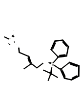 CC(=CCOS(C)(=O)=S)CO[Si](c1ccccc1)(c1ccccc1)C(C)(C)C